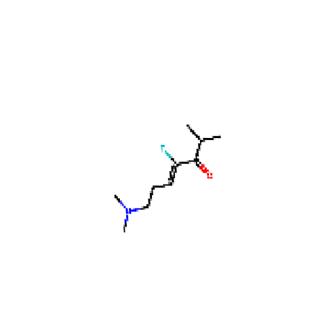 CC(C)C(=O)/C(F)=C/CCN(C)C